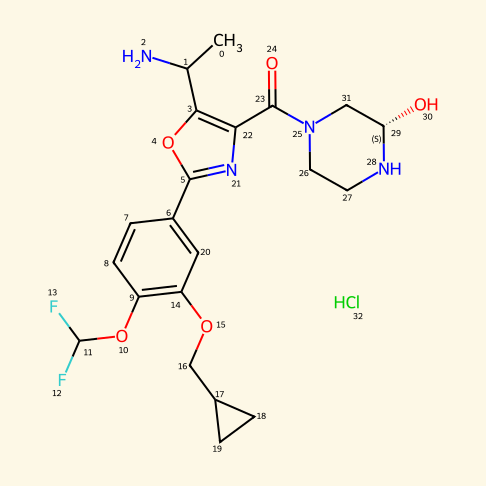 CC(N)c1oc(-c2ccc(OC(F)F)c(OCC3CC3)c2)nc1C(=O)N1CCN[C@@H](O)C1.Cl